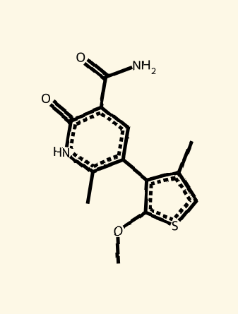 COc1scc(C)c1-c1cc(C(N)=O)c(=O)[nH]c1C